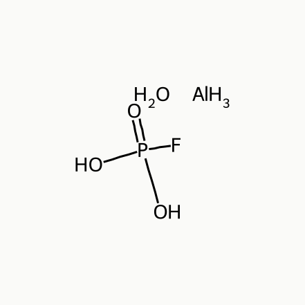 O.O=P(O)(O)F.[AlH3]